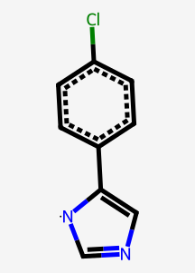 Clc1ccc(C2=CN=C[N]2)cc1